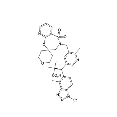 CCn1nnc2c(C)c([C@H](c3cnc(C)c(CN4CC5(CCOCC5)Oc5ncccc5S4(=O)=O)c3)C(C)(C)C(=O)O)ccc21